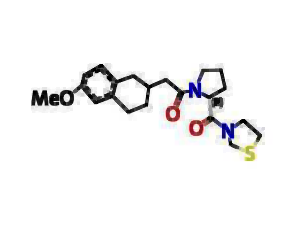 COc1ccc2c(c1)CCC(CC(=O)N1CCC[C@@H]1C(=O)N1CCSC1)C2